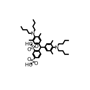 CCCCN(CCCC)c1c(C)cc(C(c2cc(C)c(N(CCCC)CCCC)c(C)c2)c2ccc(S(=O)(=O)O)cc2S(=O)(=O)O)cc1C